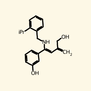 C=C(/C=C(\NCc1ccccc1C(C)C)c1cccc(O)c1)CO